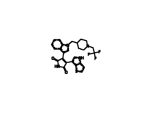 O=C1NC(=O)C(c2c[nH]c3ccsc23)=C1c1cn(CC2CCN(CC(F)(F)F)CC2)c2ccccc12